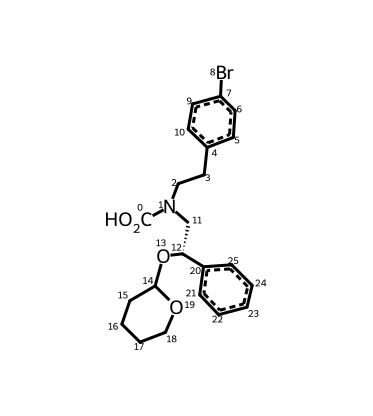 O=C(O)N(CCc1ccc(Br)cc1)C[C@@H](OC1CCCCO1)c1ccccc1